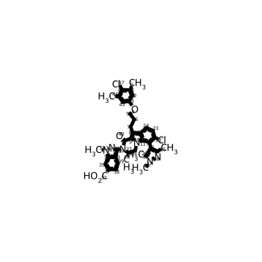 Cc1cc(OCCCc2c3n(c4c(-c5c(C)nn(C)c5C)c(Cl)ccc24)C[C@@H](C)N(c2nn(C)c4cc(C(=O)O)ccc24)C3=O)cc(C)c1Cl